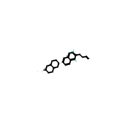 C=CCCc1c(F)cc2cc([C@@H]3CC[C@@H]4CC(CCCCCC)CCC4C3)ccc2c1F